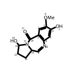 COc1cc2c(cc1O)N=CC1CCC(O)N1C2=O